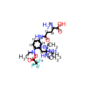 CCN(OC(=O)C(F)(F)F)c1ccc(NC(=O)CC[C@H](N)C(=O)O)cc1CC(NC)(NC)NC